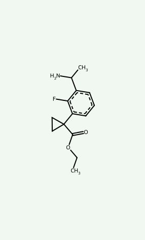 CCOC(=O)C1(c2cccc(C(C)N)c2F)CC1